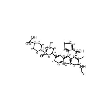 CCNc1cc2c(cc1C)C(c1ccccc1C(=O)O)=C1C=C(C(CC(C)C)CS(=O)(=O)N3CCC(C(=O)O)CC3)CC=C1O2